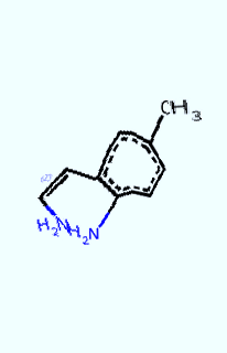 Cc1ccc(N)c(/C=C\N)c1